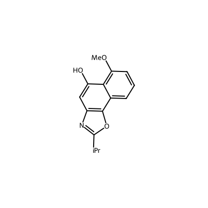 COc1cccc2c1c(O)cc1nc(C(C)C)oc12